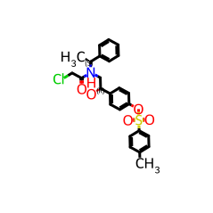 Cc1ccc(S(=O)(=O)Oc2ccc([C@@H](O)CN(C(=O)CCl)[C@@H](C)c3ccccc3)cc2)cc1